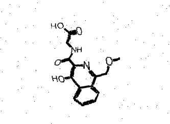 COCc1nc(C(=O)NCC(=O)O)c(O)c2ccccc12